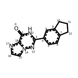 O=c1[nH]c(-c2ccc3c(c2)CCC3)nn2ccnc12